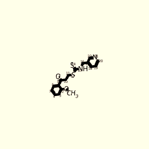 COc1ccccc1C(=O)CCSC(=S)NCc1cccnc1